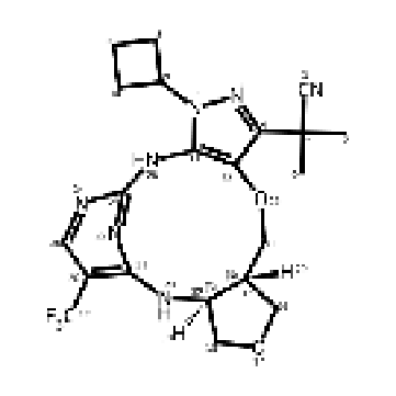 CC(C)(C#N)c1nn(C2CCC2)c2c1OC[C@@H]1COC[C@H]1Nc1nc(ncc1C(F)(F)F)N2